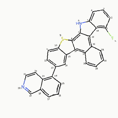 Fc1cccc2[nH]c3c4sc5ccc(-c6cccc7cnccc67)cc5c4c4ccccc4c3c12